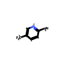 [CH2]CCc1ccc(C(F)(F)F)cn1